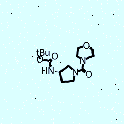 CC(C)(C)OC(=O)N[C@H]1CCN(C(=O)N2CCOCC2)C1